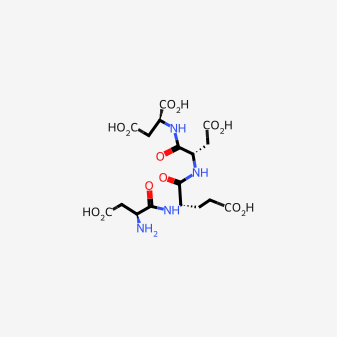 N[C@@H](CC(=O)O)C(=O)N[C@@H](CCC(=O)O)C(=O)N[C@@H](CC(=O)O)C(=O)N[C@@H](CC(=O)O)C(=O)O